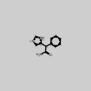 NC(=O)C(c1ccccc1)c1cnc[nH]1